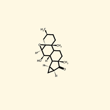 C[C@H]1CC[C@]2(C)C3CC[C@]4(C)C(=O)[C@H]5C[C@H]5C4[C@@H]3[C@@H](O)[C@H]3O[C@]32C1